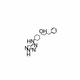 OC(CCCc1ccccc1)[C@H]1CC[C@H](Nc2ncnc3[nH]ncc23)CC1